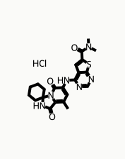 Cc1cc(Nc2ncnc3sc(C(=O)N(C)C)cc23)c(=O)n2c1C(=O)NC21CCCCC1.Cl